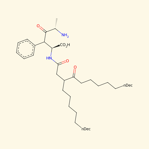 CCCCCCCCCCCCCCCC(=O)C(CCCCCCCCCCCCCCC)CC(=O)N[C@H](C(=O)O)C(C(=O)[C@H](C)N)c1ccccc1